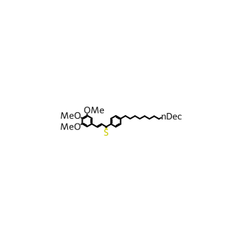 CCCCCCCCCCCCCCCCCCc1ccc(C(=S)C=Cc2cc(OC)c(OC)c(OC)c2)cc1